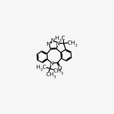 CC(C)(C)N1C(=O)c2cccc3c2-c2c(nnn2C3(C)C)-c2ccccc21